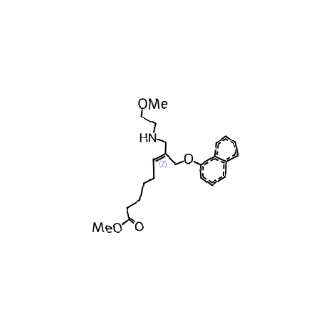 COCCNC/C(=C/CCCCC(=O)OC)COc1cccc2ccccc12